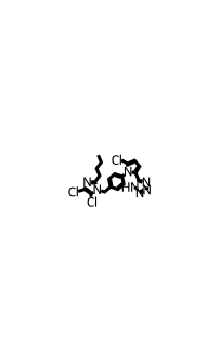 CCCCc1nc(Cl)c(Cl)n1Cc1ccc(-n2c(Cl)ccc2-c2nnn[nH]2)cc1